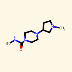 CCNC(=O)N1CCN(C2CCN(C)C2)CC1